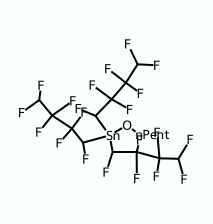 CCCCC[O][Sn]([CH](F)C(F)(F)C(F)(F)C(F)F)([CH](F)C(F)(F)C(F)(F)C(F)F)[CH](F)C(F)(F)C(F)(F)C(F)F